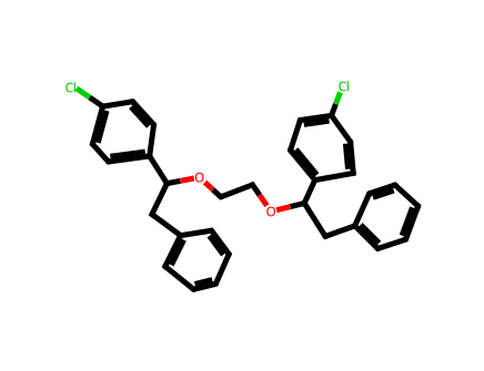 Clc1ccc(C(Cc2ccccc2)OCCOC(Cc2ccccc2)c2ccc(Cl)cc2)cc1